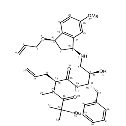 C=CCO[C@@H]1C[C@H](NC[C@@H](O)[C@H](Cc2ccccc2)NC(=O)[C@H](CC=C)N(C)C(=O)C(C)(C)CCCC)c2cc(OC)ccc21